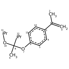 C=C(C)c1ccc(OC(C)(OC(C)C)C(C)C)cc1